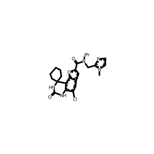 CC(C)N(Cc1nccn1C)C(=O)c1cc2cc(Cl)c3c(c2o1)C1(CCCCC1)NC(=O)N3